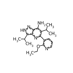 CCOc1ncccc1-c1nc2c(C(C)C)[nH]nc2c(N)c1C(C)C